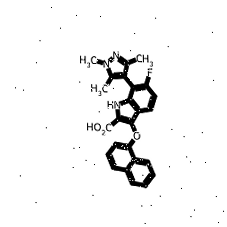 Cc1nn(C)c(C)c1-c1c(F)ccc2c(Oc3cccc4ccccc34)c(C(=O)O)[nH]c12